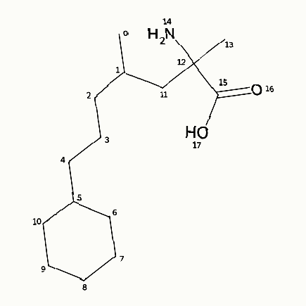 CC(CCCC1CCCCC1)CC(C)(N)C(=O)O